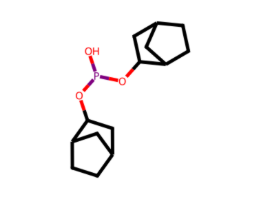 OP(OC1CC2CCC1C2)OC1CC2CCC1C2